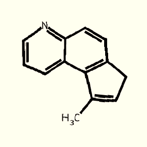 CC1=CCc2ccc3ncccc3c21